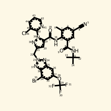 Cc1cc(C#N)cc(C(=O)NC(C)(C)C)c1NC(=O)c1cc(Cn2nc3cc(OC(F)(F)F)cc(Br)c3n2)nn1-c1ncccc1Cl